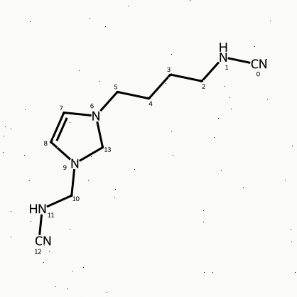 N#CNCCCCN1C=CN(CNC#N)C1